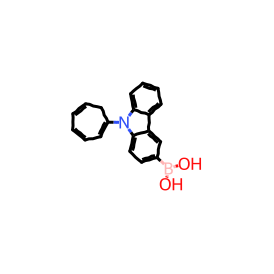 OB(O)c1ccc2c(c1)c1ccccc1n2C1=CC=CC=CC1